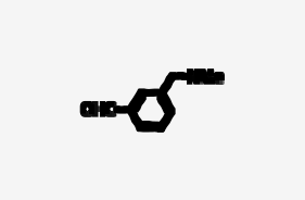 CNCc1cccc(C=O)c1